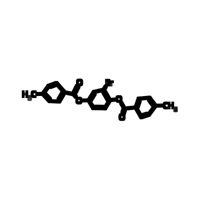 Cc1ccc(C(=O)Oc2ccc(OC(=O)c3ccc(C)cc3)c(Br)c2)cc1